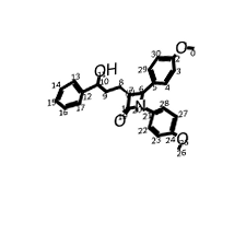 COc1ccc(C2[C@H](CCC(O)c3ccccc3)C(=O)N2c2ccc(OC)cc2)cc1